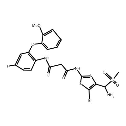 COc1ccccc1Oc1cc(F)ccc1NC(=O)CC(=O)Nc1nc(C(N)S(C)(=O)=O)c(Br)s1